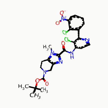 Cn1c(C(=O)Nc2ccnc(-c3cccc([N+](=O)[O-])c3Cl)c2Cl)nc2c1CCN(C(=O)OC(C)(C)C)C2